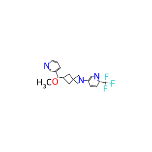 COC(c1cccnc1)C1CC2(C1)CN(c1ccc(C(F)(F)F)nc1)C2